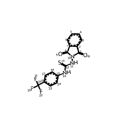 O=C1c2ccccc2C(=O)N1NC(=S)Nc1ccc(C(F)(F)F)cc1